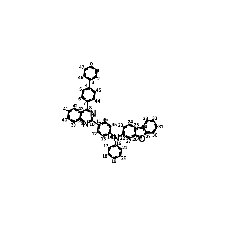 c1ccc(-c2ccc(-c3nc(-c4ccc(N(c5ccccc5)c5ccc6c(c5)oc5ccccc56)cc4)nc4ccccc34)cc2)cc1